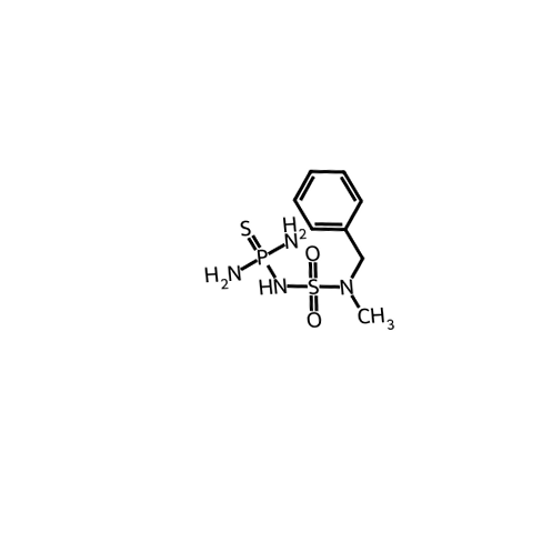 CN(Cc1ccccc1)S(=O)(=O)NP(N)(N)=S